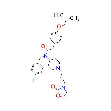 CC(C)COc1ccc(CC(=O)N(Cc2ccc(F)cc2)C2CCN(CCCN3CCOC3=O)CC2)cc1